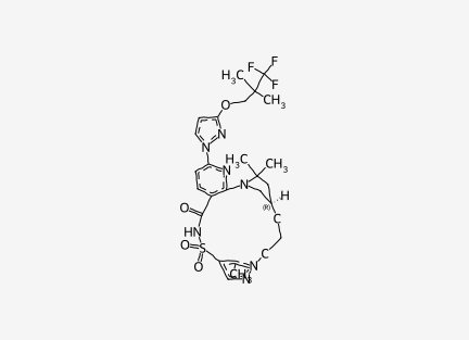 Cc1c2cnn1CCC[C@H]1CN(c3nc(-n4ccc(OCC(C)(C)C(F)(F)F)n4)ccc3C(=O)NS2(=O)=O)C(C)(C)C1